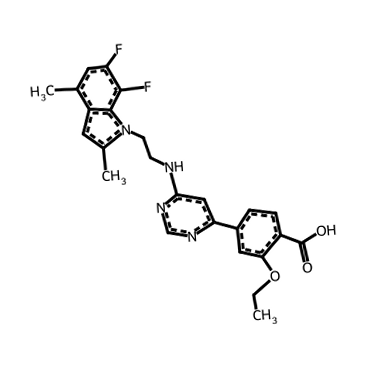 CCOc1cc(-c2cc(NCCn3c(C)cc4c(C)cc(F)c(F)c43)ncn2)ccc1C(=O)O